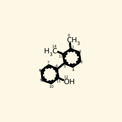 Cc1cccc(-c2cc[c]cc2O)c1C